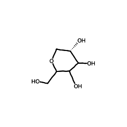 OCC1OC[C@H](O)C(O)C1O